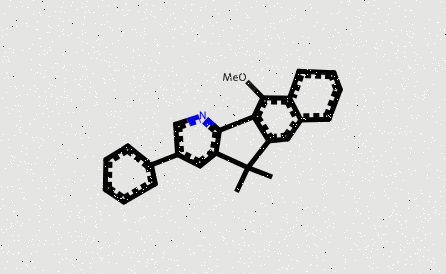 COc1c2c(cc3ccccc13)C(C)(C)c1cc(-c3ccccc3)cnc1-2